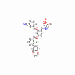 CC(CO)(NCc1ccc(OCc2cccc(-c3ccc4c(c3)OCCO4)c2Cl)cc1OCc1cccc(C#N)c1)C(=O)O